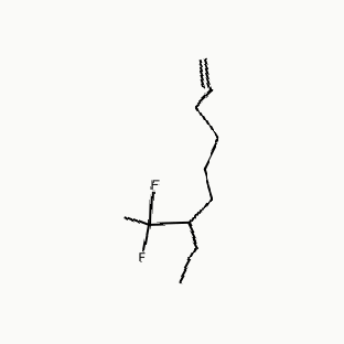 C=CCCCCC(CC)C(C)(F)F